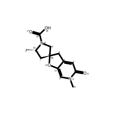 C[C@H]1C[C@]2(Cc3cc(=O)n(C)cc3O2)CN1C(=O)O